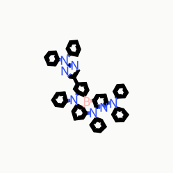 c1ccc(N(c2ccccc2)c2ccc3c(n2)N(c2ccccc2)c2cccc4c2B3c2ccc(-c3cnc(N(c5ccccc5)c5ccccc5)nc3)cc2N4c2ccccc2)cc1